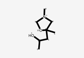 CC(O)CC1(C)CN(C)CO1